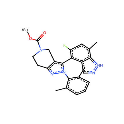 Cc1cccc(C)c1-n1nc2c(c1-c1c(F)cc(C)c3[nH]ncc13)CN(C(=O)OC(C)(C)C)CC2